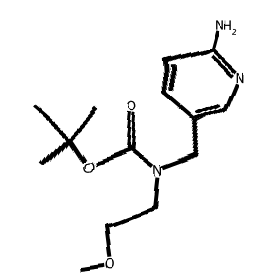 COCCN(Cc1ccc(N)nc1)C(=O)OC(C)(C)C